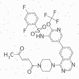 CC(=O)C=CC(=O)N1CCN(c2ncnc3ccc(-c4cnc(OC(F)(F)F)c(NS(=O)(=O)c5ccc(F)cc5F)c4)cc23)CC1